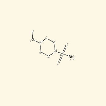 COC1CCC(S(N)(=O)=O)CC1